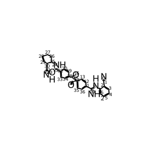 N#Cc1ccccc1NC(N)c1ccc(S(=O)(=O)c2ccc(C(O)NC3CCC=CC3C#N)cc2)cc1